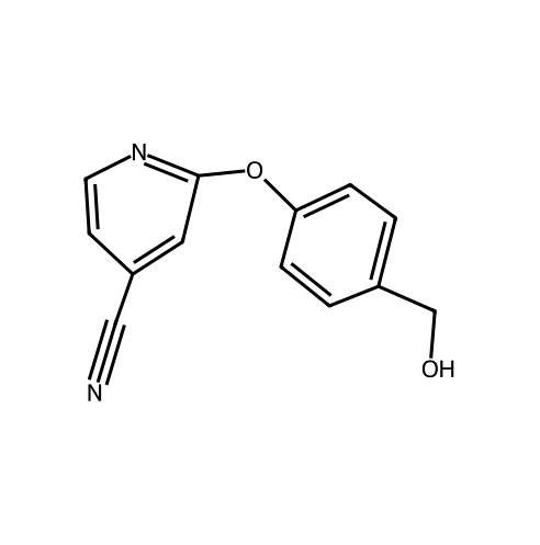 N#Cc1ccnc(Oc2ccc(CO)cc2)c1